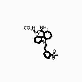 CS(=O)(=O)c1cccc(CCn2c3c(c4c(OCC(=O)O)cccc42)C(C(N)=O)CCCC3)c1